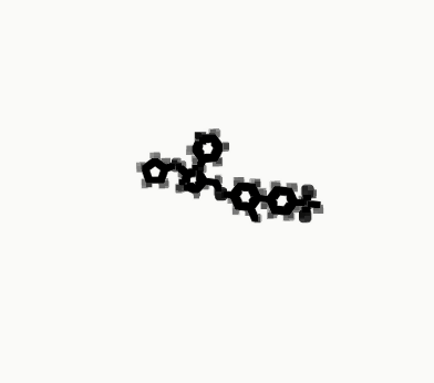 Cc1cc(OCc2cnc(SC3CCCC3)n2-c2cccnc2)ccc1-c1ccc(S(C)(=O)=O)cc1